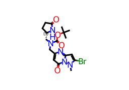 Cn1c(Br)cc2nc(CN(C[C@@H]3CCC(=O)N3)C(=O)OC(C)(C)C)cc(=O)n21